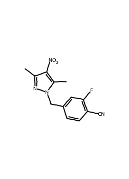 Cc1nn(Cc2ccc(C#N)c(F)c2)c(C)c1[N+](=O)[O-]